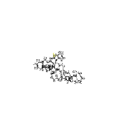 C=C(/C=C\C(=C)C1=c2\cccc\c2=C(C(=C)c2cc3c(cc2C2=Cc4ccccc4C2(C)C)sc2ccccc23)\C=C\CC\C=C\1)C1=CC=CCC1